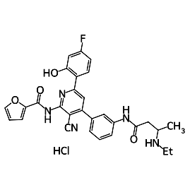 CCNC(C)CC(=O)Nc1cccc(-c2cc(-c3ccc(F)cc3O)nc(NC(=O)c3ccco3)c2C#N)c1.Cl